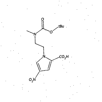 CN(CCn1cc([N+](=O)[O-])cc1C(=O)O)C(=O)OC(C)(C)C